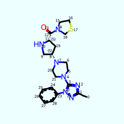 Cc1nc(N2CCN([C@@H]3CN[C@H](C(=O)N4CCSC4)C3)CC2)n(-c2ccccc2)n1